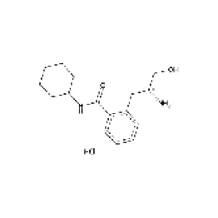 Cl.N[C@@H](CO)Cc1ccccc1C(=O)NC1CCCCC1